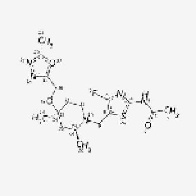 CC(=O)Nc1nc(F)c(CN2CC[C@](C)(OCc3nnc(C)o3)C[C@@H]2C)s1